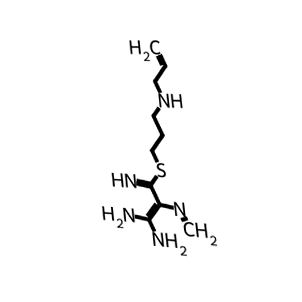 C=CCNCCCSC(=N)C(N=C)=C(N)N